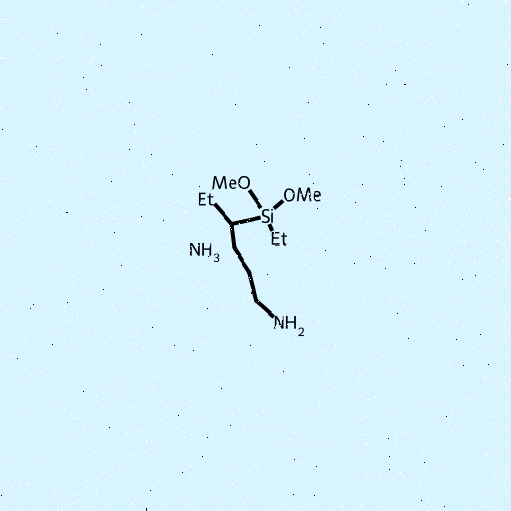 CCC(CCCN)[Si](CC)(OC)OC.N